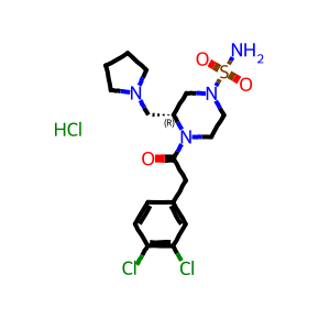 Cl.NS(=O)(=O)N1CCN(C(=O)Cc2ccc(Cl)c(Cl)c2)[C@H](CN2CCCC2)C1